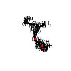 CCC(C)SC1CC(=O)N(CCCCCC(=O)N[C@H](C(=O)N[C@@H](CCCNC(N)=O)C(=O)Nc2ccc(COC(=O)NCc3ccc4c(c3)C(=O)c3c(O)cc5c(c3C4=O)N[C@H]3C#C/C=C\C#C[C@@H](O)[C@@]54O[C@@]34[C@@H](C)O)cc2)C(C)C)C1=O